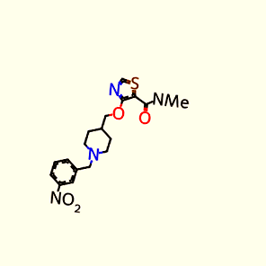 CNC(=O)c1scnc1OCC1CCN(Cc2cccc([N+](=O)[O-])c2)CC1